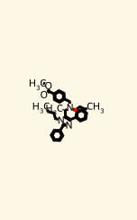 CCCCN(Cc1ccc(C(=O)OC)cc1)[C@@H](C)c1c(-c2ccccc2)nc(-c2ccccc2)n1CCCC